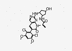 C=CC(=O)NC1CC(O)CC1Nc1ncc2cc(-c3c(Cl)c(OC)cc(OC)c3Cl)c(=O)n(C)c2n1